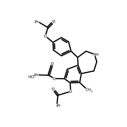 Cc1c2c(cc(OC(=O)C(C)C)c1OC(=O)C(C)C)C(c1ccc(OC(=O)C(C)C)cc1)CNCC2.Cl